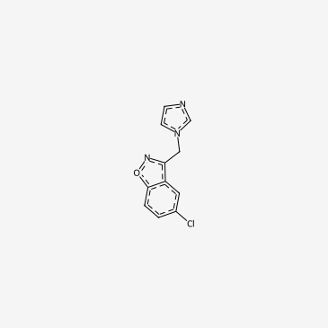 Clc1ccc2onc(Cn3ccnc3)c2c1